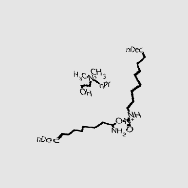 CCCCCCCCCCCCCCCCCCN[N+](=O)OC(N)CCCCCCCCCCCCCCCCC.CCC[N+](C)(C)CCO